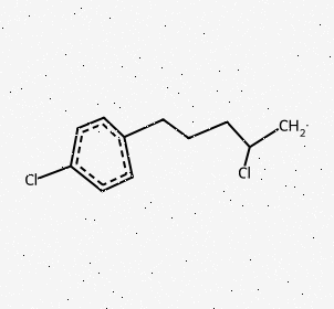 [CH2]C(Cl)CCCc1ccc(Cl)cc1